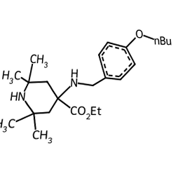 CCCCOc1ccc(CNC2(C(=O)OCC)CC(C)(C)NC(C)(C)C2)cc1